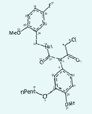 CCCCCOc1cc(N(C(=O)CCl)C(=O)NCc2cc(F)ccc2OC)ccc1OC